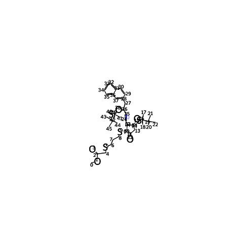 COC(=O)CSCCCS[C@H]1C(=O)C[C@@H](O[Si](C)(C)C(C)(C)C)[C@@H]1/C=C/C(Cc1ccc2ccccc2c1)O[Si](C)(C)C(C)(C)C